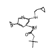 CC(C)(C)CC(=O)Nc1cc(Br)cnc1NCC1CC1